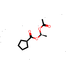 CC(=O)O[C@@H](C)OC(=O)C1CCCC1